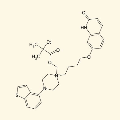 CCC(C)(C)C(=O)OC[N+]1(CCCCOc2ccc3ccc(=O)[nH]c3c2)CCN(c2cccc3sccc23)CC1